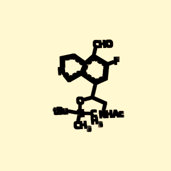 CC(=O)NCC(O[Si](C)(C)C(C)(C)C)c1cc(F)c(C=O)c2ccncc12